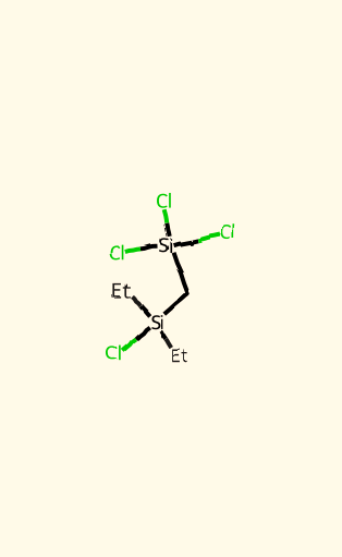 CC[Si](Cl)(CC)C[Si](Cl)(Cl)Cl